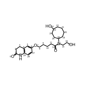 O=C1CCc2cc(OCCCCC(=O)N(CCO)C3CCCCC(O)CC3)ccc2N1